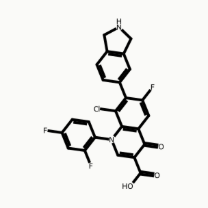 O=C(O)c1cn(-c2ccc(F)cc2F)c2c(Cl)c(-c3ccc4c(c3)CNC4)c(F)cc2c1=O